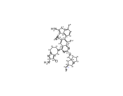 N#Cc1c(N)sc2c(F)ccc(-c3c(Cl)cc4c(N5CCCn6nc(N)c(Cl)c6C5)nc(OCC56CCCN5C/C(=C\F)C6)nc4c3F)c12